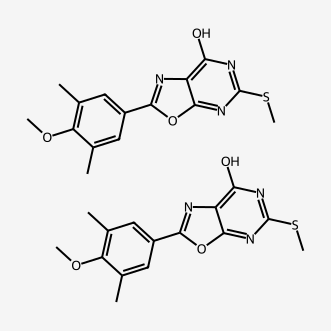 COc1c(C)cc(-c2nc3c(O)nc(SC)nc3o2)cc1C.COc1c(C)cc(-c2nc3c(O)nc(SC)nc3o2)cc1C